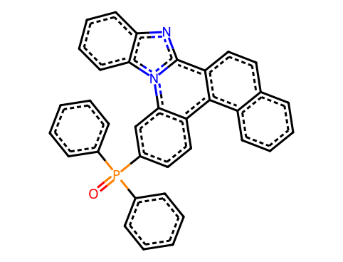 O=P(c1ccccc1)(c1ccccc1)c1ccc2c3c4ccccc4ccc3c3nc4ccccc4n3c2c1